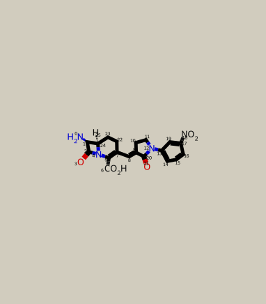 N[C@@H]1C(=O)N2C(C(=O)O)=C(/C=C3\CCN(c4cccc([N+](=O)[O-])c4)C3=O)CC[C@H]12